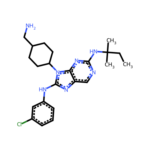 CCC(C)(C)Nc1ncc2nc(Nc3cccc(Cl)c3)n(C3CCC(CN)CC3)c2n1